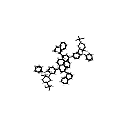 CC(C)(C)C1CCC2(C)C(C1)c1cc(-c3cc(-c4cccc5ccccc45)c4ccc5c(-c6ccc7c(c6)C6CC(C(C)(C)C)CCC6(C)N7c6ccccc6)cc(-c6cccc7ccccc67)c6ccc3c4c56)ccc1N2c1ccccc1